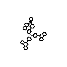 c1ccc(-n2c3cccc(-c4cccc(N(c5ccc(-c6cc7ccccc7c7ccccc67)cc5)c5ccc(-c6cc7ccccc7c7ccccc67)cc5)c4)c3c3c4ccccc4ccc32)cc1